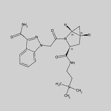 C[Si](C)(C)CCNC(=O)[C@@H]1C[C@H]2C[C@H]2N1C(=O)Cn1nc(C(N)=O)c2ccccc21